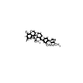 COc1cc(/C=C2\CCCN3C2N(C)OC32CCOc3c(F)cc(F)cc32)ccc1-n1cnc(C)c1